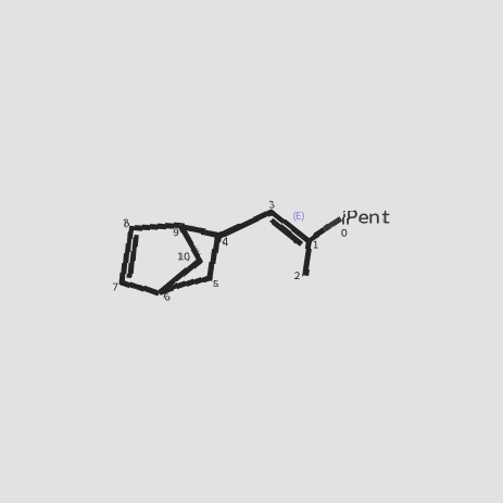 CCCC(C)/C(C)=C/C1CC2C=CC1C2